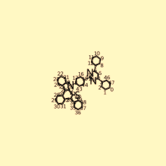 c1ccc(-c2cc(-c3ccccc3)nc(-c3ccc(-n4c5ccccc5c5c6ccccc6c6c7ccccc7sc6c54)cc3)n2)cc1